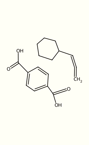 C=C=CC1CCCCC1.O=C(O)c1ccc(C(=O)O)cc1